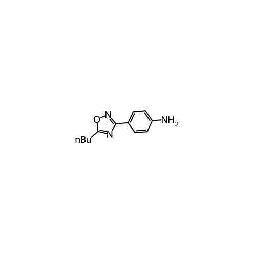 CCCCc1nc(-c2ccc(N)cc2)no1